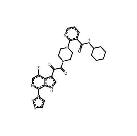 O=C(NC1CCCCC1)c1cccnc1N1CCN(C(=O)C(=O)c2c[nH]c3c(-n4ccnn4)ncc(F)c23)CC1